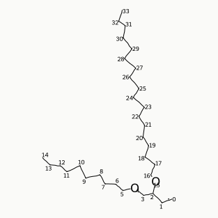 [CH2]CC(COCCCCCCCCCC)OCCCCCCCCCCCCCCCCCC